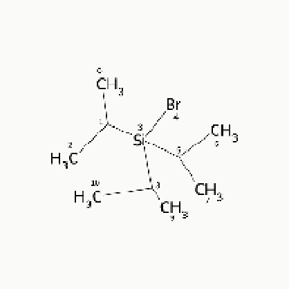 CC(C)[Si](Br)(C(C)C)C(C)C